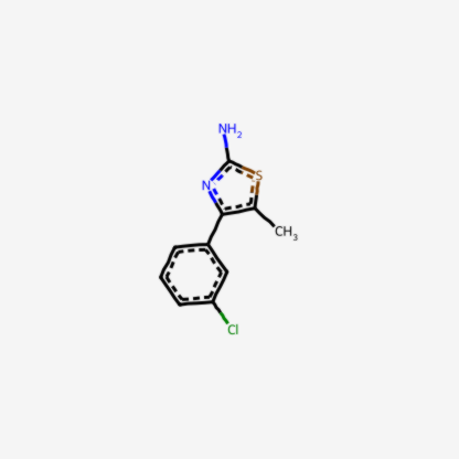 Cc1sc(N)nc1-c1cccc(Cl)c1